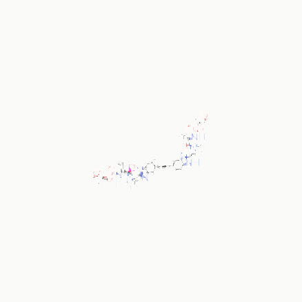 CC(C)[C@@H](NC(=O)O[C@H]1CCOC1)C(=O)N1CCC[C@H]1c1nc2cc(C#Cc3ccc4[nH]c([C@@H]5CCCN5C(=O)[C@H](NC(=O)O[C@H]5CCOC5)C(C)C)nc4c3)ccc2[nH]1